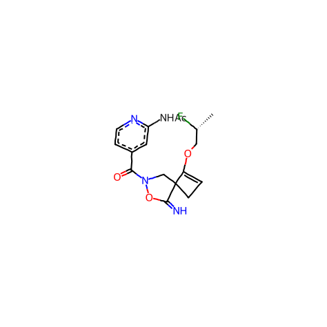 CC(=O)Nc1cc(C(=O)N2CC3(CC=C3OC[C@@H](C)F)C(=N)O2)ccn1